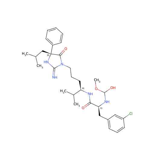 COC(O)N[C@@H](Cc1cccc(Cl)c1)C(=O)N[C@H](CCCN1C(=N)N[C@](CC(C)C)(c2ccccc2)C1=O)C(C)C